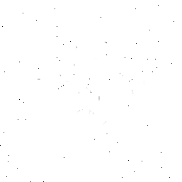 CC(C)(C)[Si](C)(C)O[C@H]1CC(=O)C[C@@H]1SC[C@H](NC(=O)CCC(N)C(=O)O)C(=O)NCC(=O)O